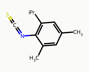 Cc1cc(C)c(N=C=S)c(C(C)C)c1